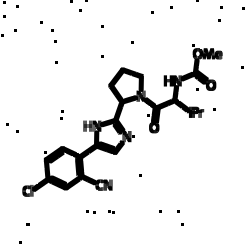 COC(=O)NC(C(=O)N1CCCC1c1ncc(-c2ccc(Cl)cc2C#N)[nH]1)C(C)C